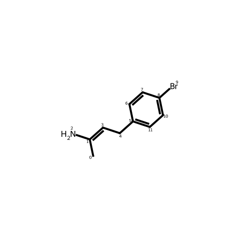 C/C(N)=C\Cc1ccc(Br)cc1